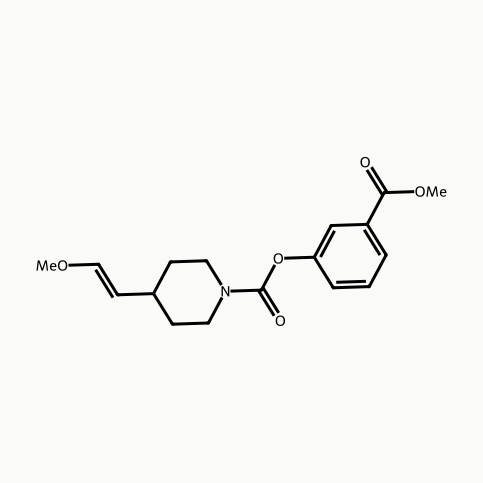 COC=CC1CCN(C(=O)Oc2cccc(C(=O)OC)c2)CC1